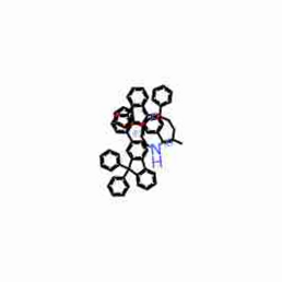 C/C1=C(/c2ccc3c4ccccc4c4cccc(-c5ccc6c(c5)C(c5ccccc5)(c5ccccc5)c5ccccc5-6)c4c3c2)NC/C=C(c2ccccc2)\C=C(\c2ccccc2)CC1